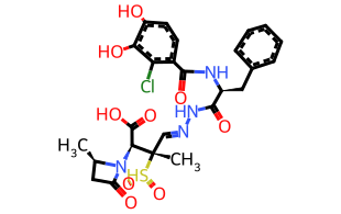 C[C@@H]1CC(=O)N1[C@@H](C(=O)O)[C@](C)(/C=N/NC(=O)[C@H](Cc1ccccc1)NC(=O)c1ccc(O)c(O)c1Cl)[SH](=O)=O